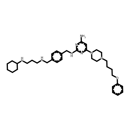 Nc1cc(N2CCN(CCCCOc3ccccc3)CC2)nc(NCc2ccc(CNCCCNC3CCCCC3)cc2)n1